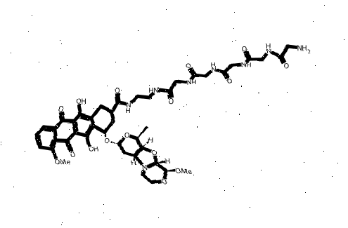 COc1cccc2c1C(=O)c1c(O)c3c(c(O)c1C2=O)CC(C(=O)NCCNC(=O)CNC(=O)CNC(=O)CNC(=O)CNC(=O)CN)C[C@@H]3O[C@H]1C[C@H]2[C@H](O[C@@H]3[C@@H](OC)OCCN32)[C@H](C)O1